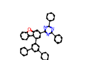 c1ccc(-c2cc(-c3ccccc3)cc(-c3cc(-c4nc(-c5ccccc5)nc(-c5ccccc5)n4)cc4oc5ccccc5c34)c2)cc1